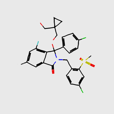 CC(=O)c1cc(F)c2c(c1)C(=O)N(Cc1ccc(Cl)cc1S(C)(=O)=O)C2(OCC1(CO)CC1)c1ccc(Cl)cc1